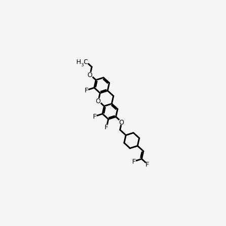 CCOc1ccc2c(c1F)Oc1c(cc(OCC3CCC(C=C(F)F)CC3)c(F)c1F)C2